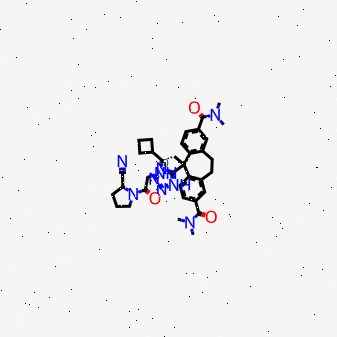 CN(C)C(=O)c1ccc2c(c1)CCc1cc(C(=O)N(C)C)ccc1C2(C[C@H](NCC(=O)N1CCCC1C#N)C1CCC1)c1nnn[nH]1